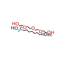 CCCCCCCCCCCCCCCCCC(=O)O.OCCOCCOCCOCCO